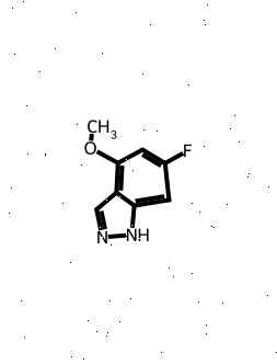 COc1cc(F)cc2[nH]ncc12